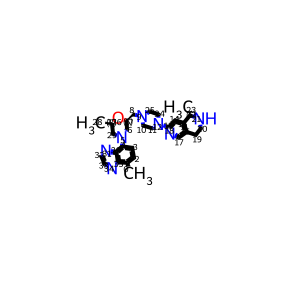 Cc1ccc(N2C[C@H](CN3CCN(c4cc5c(cn4)CCN[C@H]5C)CC3)O[C@H](C)C2)c2nccnc12